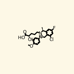 COc1ccc(OCc2c(Cl)cc(F)cc2[C@H](C)NCCC[C@@H](O)C(=O)O)cc1